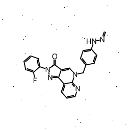 C=NNc1ccc(Cn2cc3c(=O)n(-c4ccccc4F)nc-3c3cccnc32)cc1